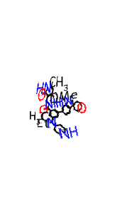 CCN(c1cc(-c2ccc3c(c2)NCC32CCOCC2)cc(C(=O)NCc2c(OC)cc(C)[nH]c2=O)c1C)C1CCNCC1